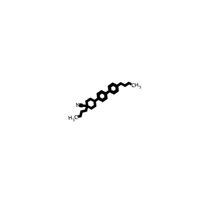 CCCCc1ccc(-c2ccc(C3CCC(C#N)(CCCC)CC3)cc2)cc1